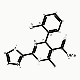 COC(=O)C1=C(C)NC(c2nccs2)=NC1c1ccccc1Cl